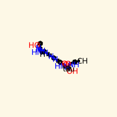 C#Cc1ccc(CNC(=O)[C@@H]2C[C@@H](O)CN2C(=O)[C@@H](NC(=O)[C@H]2CCC3(CC2)C[C@H](N2CCC(N4CC5(CC(N6CCN7c8cc(-c9ccccc9O)nnc8NC[C@H]7C6)C5)C4)CC2)C3)C(C)(C)C)cc1